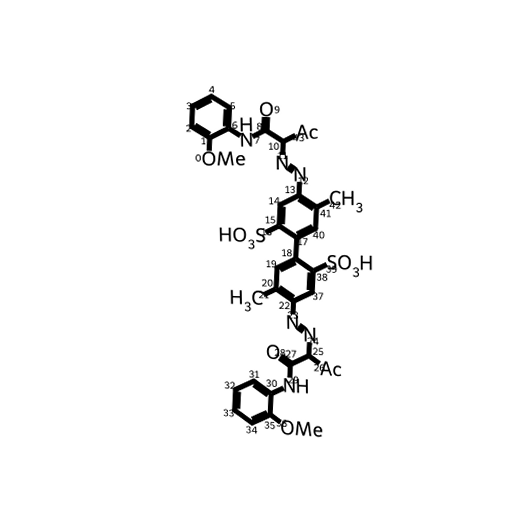 COc1ccccc1NC(=O)C(N=Nc1cc(S(=O)(=O)O)c(-c2cc(C)c(N=NC(C(C)=O)C(=O)Nc3ccccc3OC)cc2S(=O)(=O)O)cc1C)C(C)=O